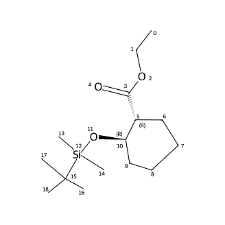 CCOC(=O)[C@@H]1CCCC[C@H]1O[Si](C)(C)C(C)(C)C